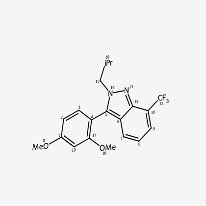 COc1ccc(-c2c3cccc(C(F)(F)F)c3nn2CC(C)C)c(OC)c1